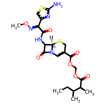 CCC(C)C(C)C(=O)OCOC(=O)C1=CN2C(=O)C(NC(=O)C(=NOC)c3csc(N)n3)[C@H]2SC1